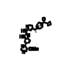 COc1cncnc1-c1ccc2nc(Nc3cc([C@@H](C)N4CCN(C(=O)C5CCC5)CC4)ccn3)[nH]c2c1